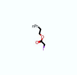 CCCCCOC(=O)CI